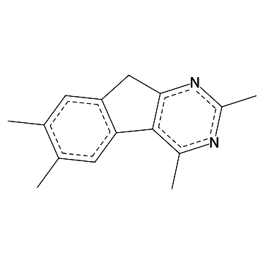 Cc1nc(C)c2c(n1)Cc1cc(C)c(C)cc1-2